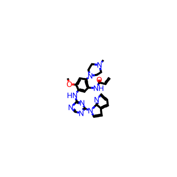 C=CC(=O)Nc1cc(Nc2ncnc(-n3ccc4cccnc43)n2)c(OC)cc1N1CCN(C)CC1